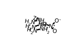 NN.NN.NN.O=[N+]([O-])O.[Zn]